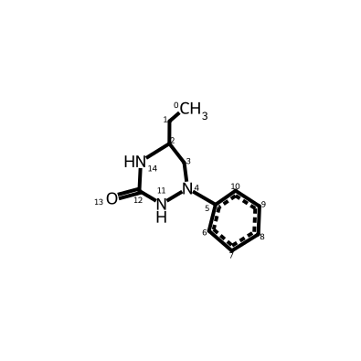 CCC1CN(c2ccccc2)NC(=O)N1